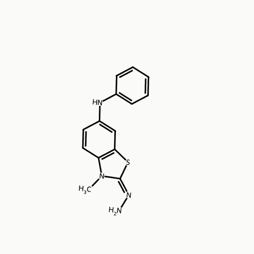 Cn1c(=NN)sc2cc(Nc3ccccc3)ccc21